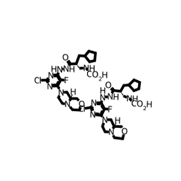 O=C(O)NC[C@@H](CC1CCCC1)C(=O)NNc1nc(Cl)nc(N2CCN3CCOC[C@@H]3C2)c1F.O=C(O)NC[C@@H](CC1CCCC1)C(=O)NNc1nc(Cl)nc(N2CCN3CCOC[C@@H]3C2)c1F